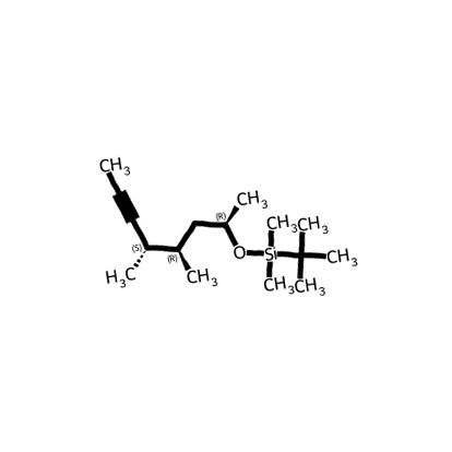 CC#C[C@@H](C)[C@H](C)C[C@@H](C)O[Si](C)(C)C(C)(C)C